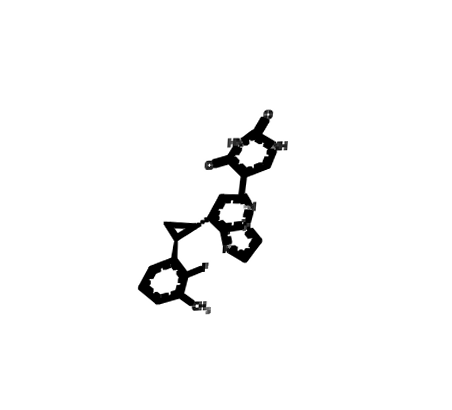 Cc1cccc([C@H]2C[C@@H]2c2cc(-c3c[nH]c(=O)[nH]c3=O)nn3ccnc23)c1F